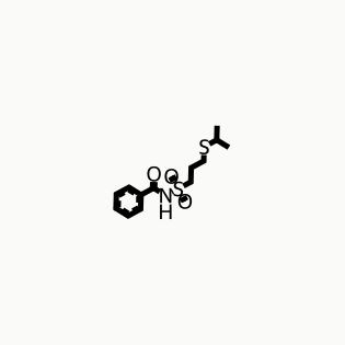 CC(C)SCCCS(=O)(=O)NC(=O)c1ccccc1